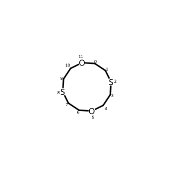 C1CSCCOCCSCCO1